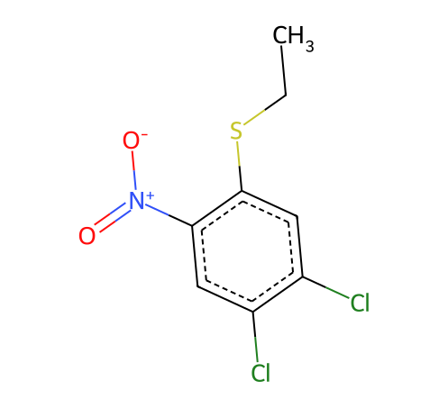 CCSc1cc(Cl)c(Cl)cc1[N+](=O)[O-]